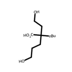 CCCCC(CCO)(CCCO)C(=O)O